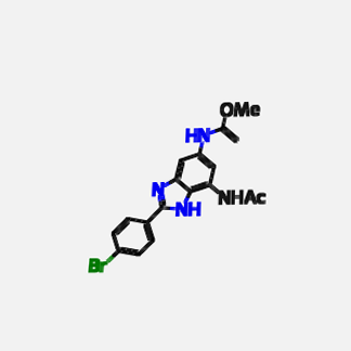 C=C(Nc1cc(NC(C)=O)c2[nH]c(-c3ccc(Br)cc3)nc2c1)OC